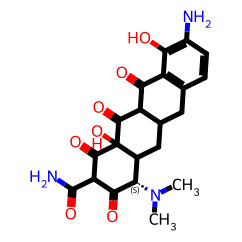 CN(C)[C@@H]1C(=O)C(C(N)=O)C(=O)C2(O)C(=O)C3C(=O)c4c(ccc(N)c4O)CC3CC12